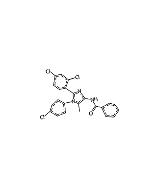 Cc1c(NC(=O)c2ccccc2)nc(-c2ccc(Cl)cc2Cl)n1-c1ccc(Cl)cc1